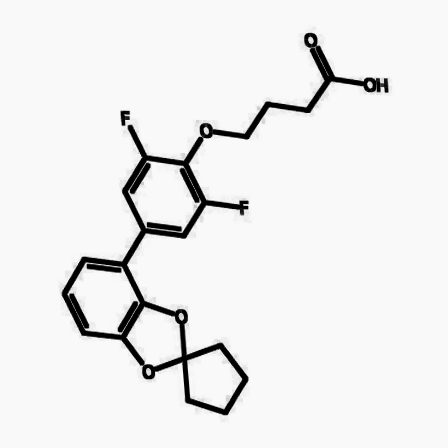 O=C(O)CCCOc1c(F)cc(-c2cccc3c2OC2(CCCC2)O3)cc1F